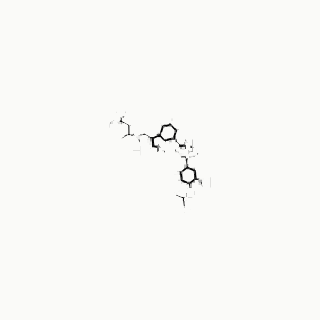 CC(CC(=O)O)NCc1c[nH]c2c(-c3noc(-c4ccc(OC(C)C)c(Cl)c4)n3)cccc12